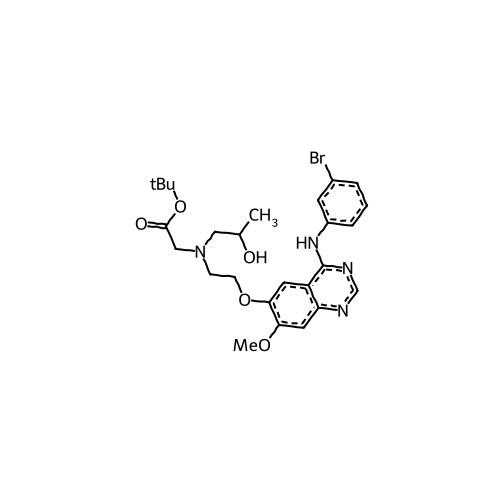 COc1cc2ncnc(Nc3cccc(Br)c3)c2cc1OCCN(CC(=O)OC(C)(C)C)CC(C)O